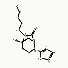 CCCCON1C(=O)N2C[C@@H]1CC[C@H]2c1ncns1